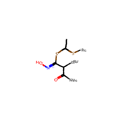 CNC(=O)C(/C(=N/O)SC(C)SC(C)(C)C)C(C)(C)C